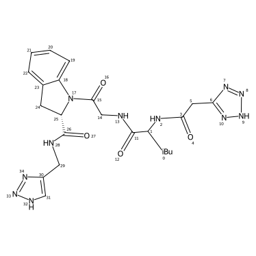 CCC(C)C(NC(=O)Cc1nn[nH]n1)C(=O)NCC(=O)N1c2ccccc2C[C@H]1C(=O)NCc1c[nH]nn1